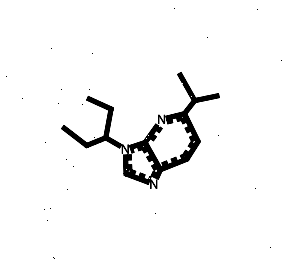 CCC(CC)n1cnc2ccc(C(C)C)nc21